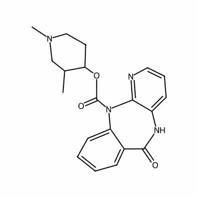 CC1CN(C)CCC1OC(=O)N1c2ccccc2C(=O)Nc2cccnc21